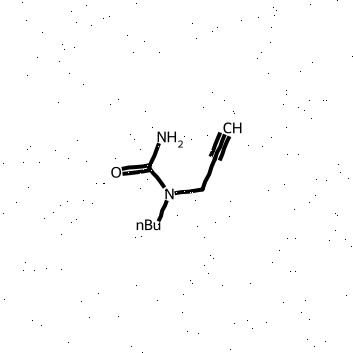 C#CCN(CCCC)C(N)=O